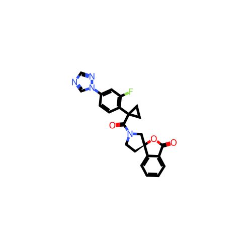 O=C1O[C@]2(CCN(C(=O)C3(c4ccc(-n5cncn5)cc4F)CC3)C2)c2ccccc21